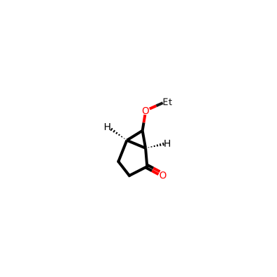 CCOC1[C@H]2C(=O)CC[C@@H]12